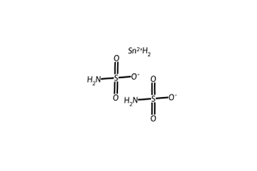 NS(=O)(=O)[O-].NS(=O)(=O)[O-].[SnH2+2]